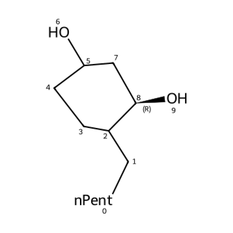 CCCCCCC1CCC(O)C[C@H]1O